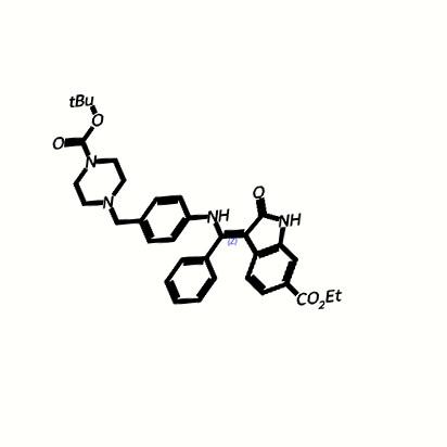 CCOC(=O)c1ccc2c(c1)NC(=O)/C2=C(\Nc1ccc(CN2CCN(C(=O)OC(C)(C)C)CC2)cc1)c1ccccc1